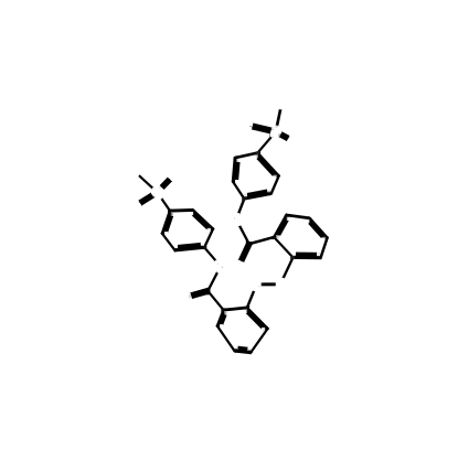 CS(=O)(=O)c1ccc(NC(=O)c2ccccc2SSc2ccccc2C(=O)Nc2ccc(S(C)(=O)=O)cc2)cc1